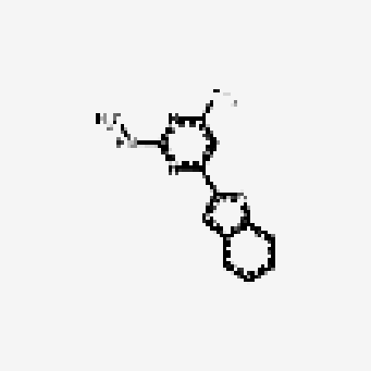 CNc1nc(C)cc(-c2cc3ccccc3[nH]2)n1